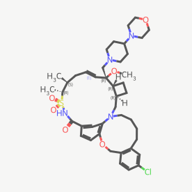 CO[C@@]1(CN2CCC(N3CCOCC3)CC2)/C=C/C[C@H](C)[C@@H](C)S(=O)(=O)NC(=O)c2ccc3c(c2)N(CCCCc2cc(Cl)ccc2CO3)C[C@@H]2CC[C@H]21